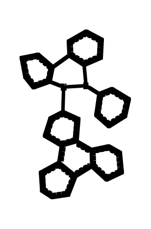 c1ccc(B2c3ccccc3-c3ccccc3N2c2ccc3c4ccccc4c4ccccc4c3c2)cc1